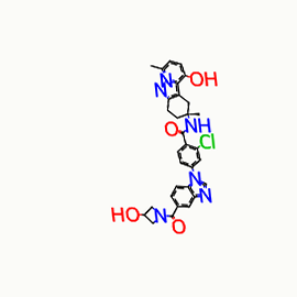 Cc1ccc(O)c2c3c(nn12)CC[C@@](C)(NC(=O)c1ccc(-n2cnc4cc(C(=O)N5CC(O)C5)ccc42)cc1Cl)C3